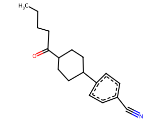 CCCCC(=O)C1CCC(c2ccc(C#N)cc2)CC1